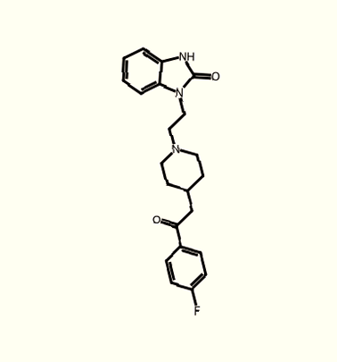 O=C(CC1CCN(CCn2c(=O)[nH]c3ccccc32)CC1)c1ccc(F)cc1